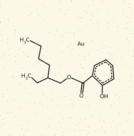 CCCCC(CC)COC(=O)c1ccccc1O.[Au]